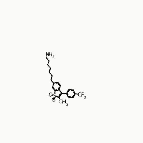 CC1=C(c2ccc(C(F)(F)F)cc2)c2ccc(CCCCCCCN)cc2S1(=O)=O